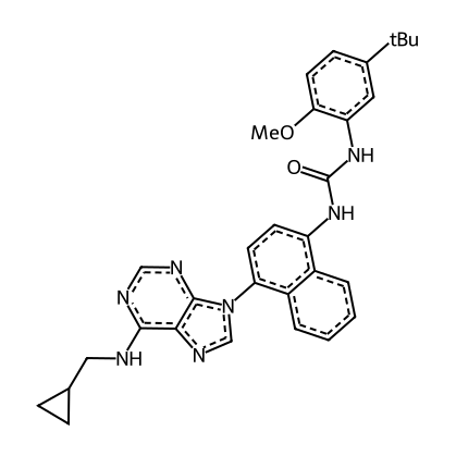 COc1ccc(C(C)(C)C)cc1NC(=O)Nc1ccc(-n2cnc3c(NCC4CC4)ncnc32)c2ccccc12